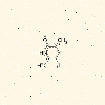 Cc1[nH]c(=O)c(C)cc1I